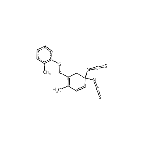 CC1=C(SSc2ccccc2C)CC(N=C=S)(N=C=S)C=C1